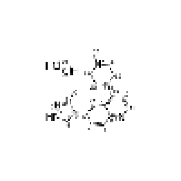 Cc1n[nH]cc1-c1ccc2nccc(N3CCN(C)CC3)c2c1.Cl.Cl